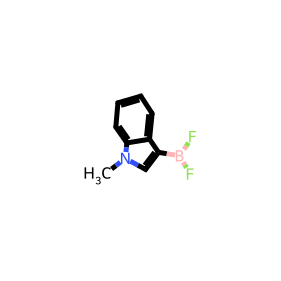 Cn1cc(B(F)F)c2ccccc21